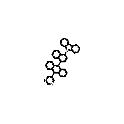 c1ccc2c(-n3c4ccccc4c4ccccc43)ccc(-c3c4ccccc4c(-c4cncnc4)c4ccccc34)c2c1